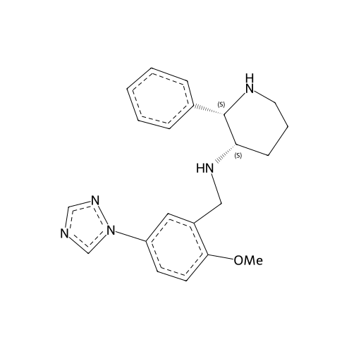 COc1ccc(-n2cncn2)cc1CN[C@H]1CCCN[C@H]1c1ccccc1